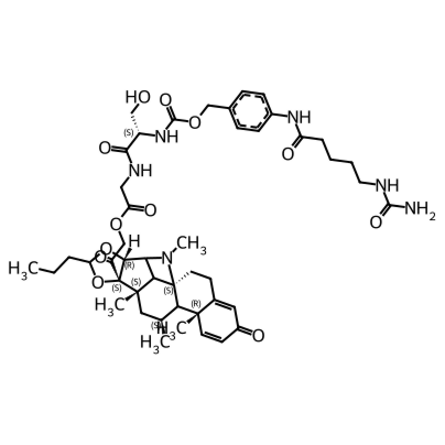 CCCC1O[C@@H]2C3C4[C@@]5(CCC6=CC(=O)C=C[C@]6(C)C5[C@@H](C)C[C@]4(C)[C@]2(C(=O)COC(=O)CNC(=O)[C@H](CO)NC(=O)OCc2ccc(NC(=O)CCCCNC(N)=O)cc2)O1)N3C